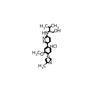 COc1cc(-c2ccc(N[C@H](CO)C(C)C)nn2)ccc1-n1cnc(C)c1.Cl